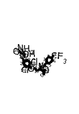 Cc1oc(-c2ccc(C(F)(F)F)cc2)nc1CCOc1c(Cl)cc(CN(O)C(N)=O)cc1Cl